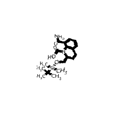 CC(C)(C)[Si](C)(C)OCC1CCc2cccc(C(N)=O)c2N1C(=O)O